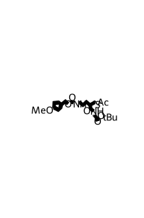 COc1ccc(COC(=O)NCCCC(CSC(C)=O)C(=O)NCC(=O)OC(C)(C)C)cc1